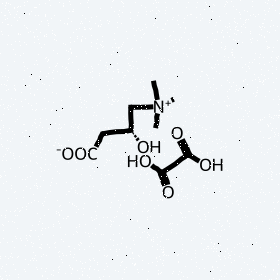 C[N+](C)(C)C[C@H](O)CC(=O)[O-].O=C(O)C(=O)O